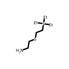 CC[Si](CC)(CC)CCSCCN